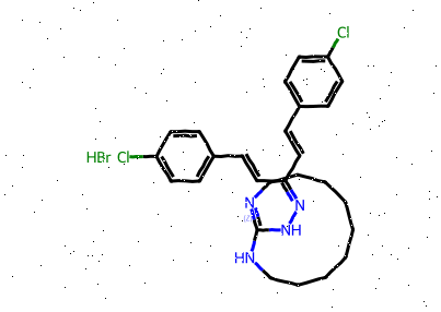 Br.Clc1ccc(C=CC(C=Cc2ccc(Cl)cc2)=NN/C2=N\CCCCCCCCCN2)cc1